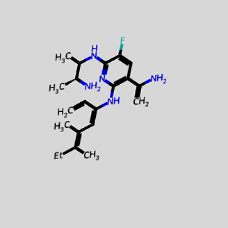 C=C/C(=C\C(C)=C(/C)CC)Nc1nc(NC(C)[C@H](C)N)c(F)cc1C(=C)N